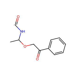 CC(N[C]=O)OCC(=O)c1ccccc1